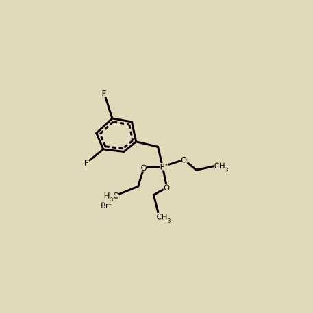 CCO[P+](Cc1cc(F)cc(F)c1)(OCC)OCC.[Br-]